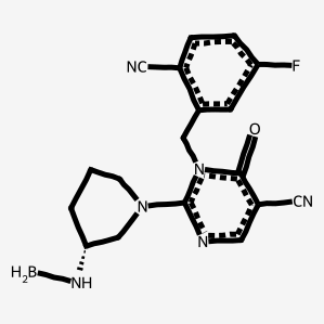 BN[C@@H]1CCCN(c2ncc(C#N)c(=O)n2Cc2cc(F)ccc2C#N)C1